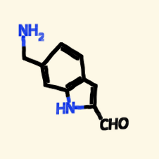 NCc1ccc2cc(C=O)[nH]c2c1